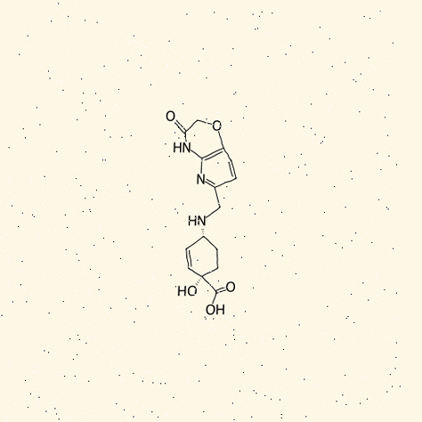 O=C1COc2ccc(CN[C@H]3C=C[C@](O)(C(=O)O)CC3)nc2N1